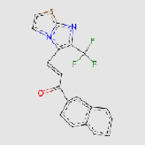 O=C(/C=C/c1c(C(F)(F)F)nc2sccn12)c1ccc2ccccc2c1